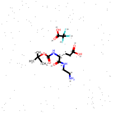 CC(C)(C)OC(=O)N[C@H](CCC(=O)O)C(=O)NCCN.O=C(O)C(F)(F)F